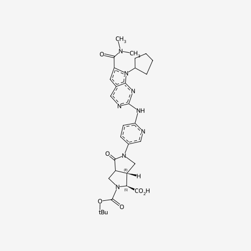 CN(C)C(=O)c1cc2cnc(Nc3ccc(N4C[C@H]5C(CN(C(=O)OC(C)(C)C)[C@@H]5C(=O)O)C4=O)cn3)nc2n1C1CCCC1